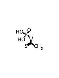 CC(=S)OP(=O)(O)O